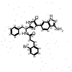 Nc1n[nH]c2cc(-c3nc([C@H](Cc4ccccc4)NC(=O)CCc4ccccc4Br)[nH]c3Cl)ccc12